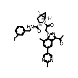 CC(=O)c1nn(CC(=O)N2[C@H](C(=O)NCc3cccc(F)c3)C[C@@]3(C)C[C@@H]23)c2c(C)cc(-c3cnc(C)nc3)cc12